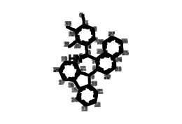 Cc1ccc(C(=N)c2c(C3c4ccccc4-c4ccccc43)ccc3ccccc23)c(C)c1C